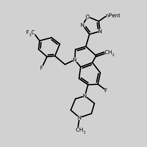 C=C1C(c2noc(CCCCC)n2)=CN(Cc2ccc(C(F)(F)F)cc2F)c2cc(N3CCN(C)CC3)c(F)cc21